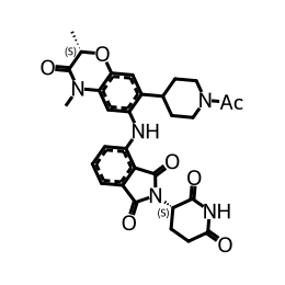 CC(=O)N1CCC(c2cc3c(cc2Nc2cccc4c2C(=O)N([C@H]2CCC(=O)NC2=O)C4=O)N(C)C(=O)[C@H](C)O3)CC1